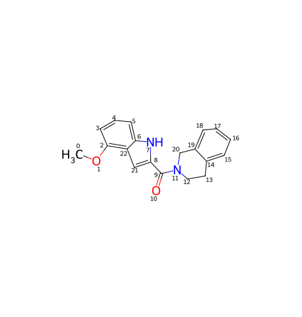 COc1cccc2[nH]c(C(=O)N3CCc4ccccc4C3)cc12